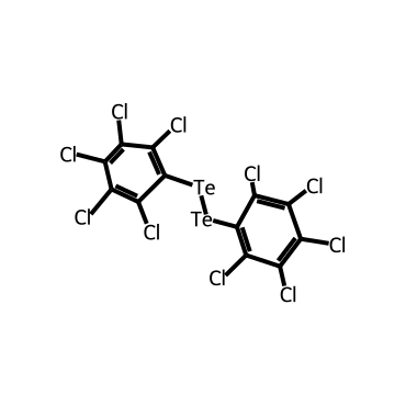 Clc1c(Cl)c(Cl)c([Te][Te]c2c(Cl)c(Cl)c(Cl)c(Cl)c2Cl)c(Cl)c1Cl